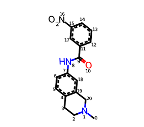 CN1CCc2ccc(NC(=O)c3cccc([N+](=O)[O-])c3)cc2C1